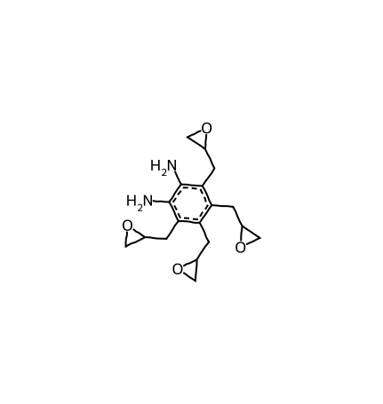 Nc1c(N)c(CC2CO2)c(CC2CO2)c(CC2CO2)c1CC1CO1